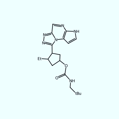 CCC1CC(OC(=O)NCC(C)(C)C)CC1c1nnc2cnc3[nH]ccc3n12